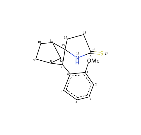 COc1ccccc1C1C2CCC(C2)C12CCC(=S)N2